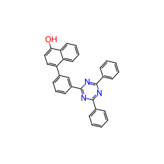 Oc1ccc(-c2cccc(-c3nc(-c4ccccc4)nc(-c4ccccc4)n3)c2)c2ccccc12